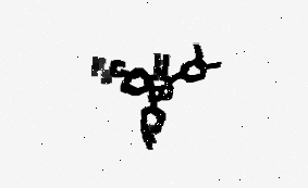 Cc1ccc(C(=O)Nc2cc(C(F)(F)F)ccc2OC2CCN(C)CC2)cc1C